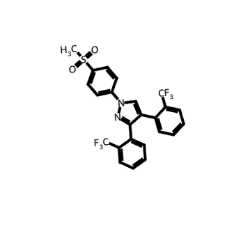 CS(=O)(=O)c1ccc(-n2cc(-c3ccccc3C(F)(F)F)c(-c3ccccc3C(F)(F)F)n2)cc1